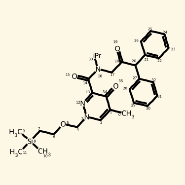 Cc1cn(COCC[Si](C)(C)C)nc(C(=O)N(CC(=O)C(c2ccccc2)c2ccccc2)C(C)C)c1=O